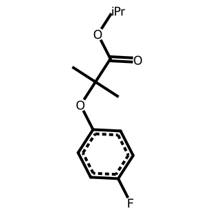 CC(C)OC(=O)C(C)(C)Oc1ccc(F)cc1